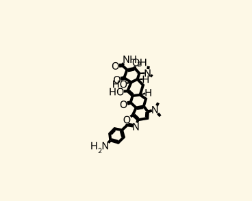 CN(C)c1cc2nc(-c3ccc(N)cc3)oc2c2c1C[C@H]1C[C@H]3[C@H](N(C)C)C(O)=C(C(N)=O)C(=O)[C@@]3(O)C(O)=C1C2=O